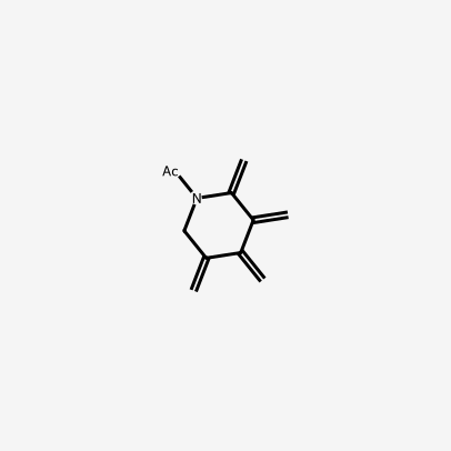 C=C1CN(C(C)=O)C(=C)C(=C)C1=C